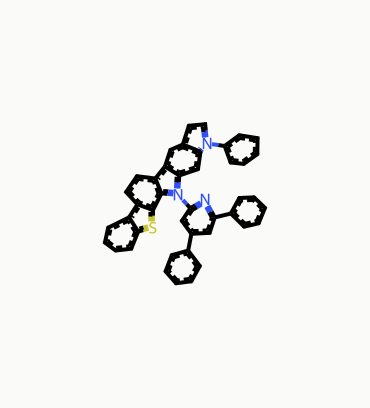 c1ccc(-c2cc(-c3ccccc3)nc(-n3c4cc5c(ccn5-c5ccccc5)cc4c4ccc5c6ccccc6sc5c43)c2)cc1